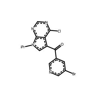 CC(C)n1cc(C(=O)c2cncc(Br)c2)c2c(Cl)ncnc21